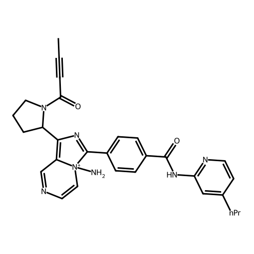 CC#CC(=O)N1CCCC1C1=C2C=NC=C[N+]2(N)C(c2ccc(C(=O)Nc3cc(CCC)ccn3)cc2)=N1